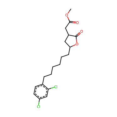 COC(=O)CC1CC(CCCCCCc2ccc(Cl)cc2Cl)OC1=O